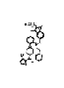 CCOC(=O)c1c(C)c2cc(SN(CCc3ccccc3)c3ccccc3N3CCN(C(=O)c4sccc4Br)CC3)ccc2n1C